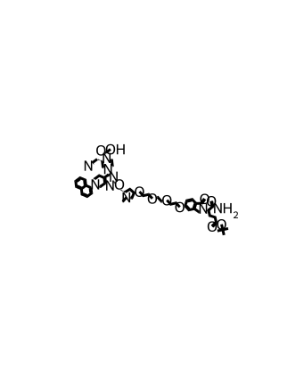 CN1C[C@H](OCCOCCOCCOc2ccc3c(c2)CN(C(CCC(=O)OC(C)(C)C)C(N)=O)C3=O)C[C@H]1COc1nc2c(c(N3CCN(C(=O)O)[C@@H](CC#N)C3)n1)CCN(c1cccc3ccccc13)C2